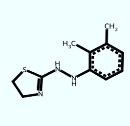 Cc1cccc(NNC2=NCCS2)c1C